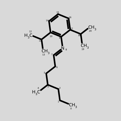 CCCC(C)CCC=Nc1c(C(C)C)cccc1C(C)C